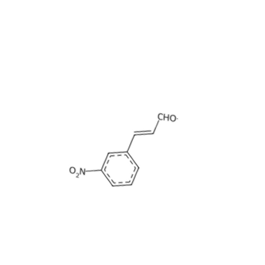 O=[C]C=Cc1cccc([N+](=O)[O-])c1